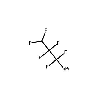 [CH2]CCC(F)(F)C(F)(F)[C](F)F